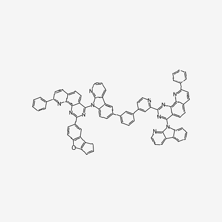 C1=Cc2oc3ccc(-c4nc(-n5c6ccc(-c7cccc(-c8ccnc(-c9nc(-n%10c%11ccccc%11c%11cccnc%11%10)c%10ccc%11ccc(-c%12ccccc%12)nc%11c%10n9)c8)c7)cc6c6cccnc65)c5ccc6ccc(-c7ccccc7)nc6c5n4)cc3c2C1